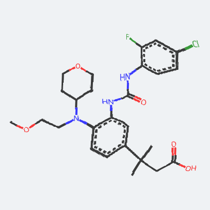 COCCN(c1ccc(C(C)(C)CC(=O)O)cc1NC(=O)Nc1ccc(Cl)cc1F)C1CCOCC1